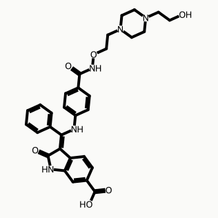 O=C1Nc2cc(C(=O)O)ccc2C1=C(Nc1ccc(C(=O)NOCCN2CCN(CCO)CC2)cc1)c1ccccc1